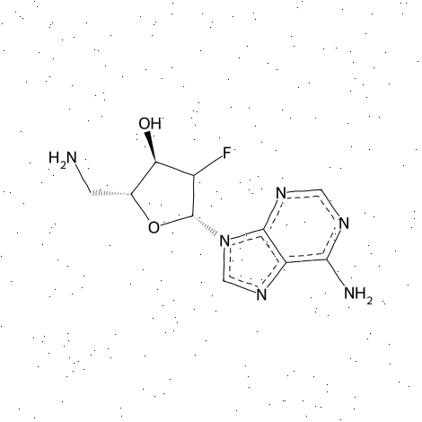 NC[C@H]1O[C@@H](n2cnc3c(N)ncnc32)C(F)[C@@H]1O